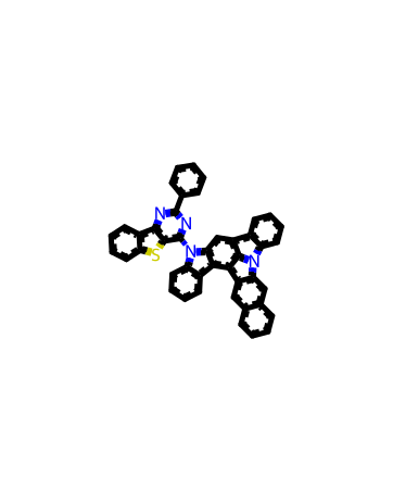 c1ccc(-c2nc(-n3c4ccccc4c4c5c6cc7ccccc7cc6n6c7ccccc7c(cc43)c56)c3sc4ccccc4c3n2)cc1